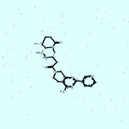 C[C@@H]1CCC(=O)N(C[C@H](CC(=O)N2CCc3c(nc(-c4cccnc4)nc3C(F)(F)F)C2)NC(=O)O)C1